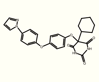 O=C1NC(=O)C(Oc2ccc(Oc3ccc(-n4cccn4)cc3)cc2)(C2CCCCC2)C(=O)N1